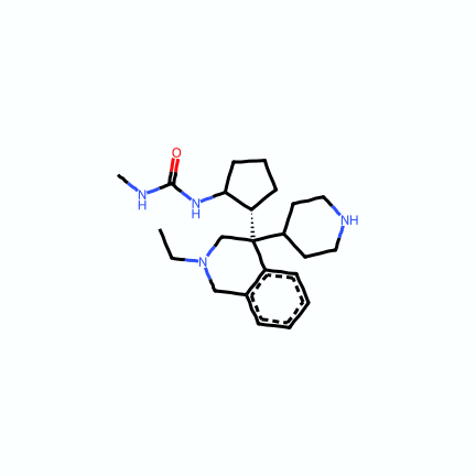 CCN1Cc2ccccc2C(C2CCNCC2)([C@H]2CCCC2NC(=O)NC)C1